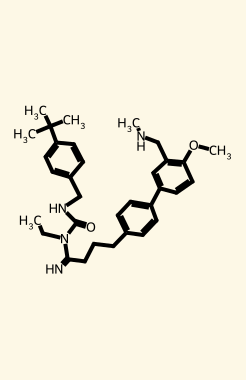 CCN(C(=N)CCCc1ccc(-c2ccc(OC)c(CNC)c2)cc1)C(=O)NCc1ccc(C(C)(C)C)cc1